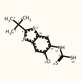 CC(C)(C)c1nc2cc(Cl)c(NC(=S)S)cc2s1